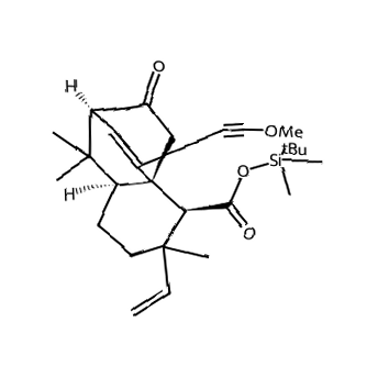 C=CC1(C)CC[C@H]2C(C)(C)[C@@H]3C=C(C#COC)[C@]2(CC3=O)[C@H]1C(=O)O[Si](C)(C)C(C)(C)C